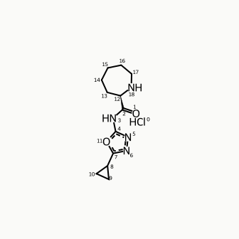 Cl.O=C(Nc1nnc(C2CC2)o1)[C@H]1CCCCCN1